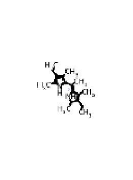 CCC1=C(C)/C(=C(\C)c2[nH]c(C)c(CC)c2C)NC1C